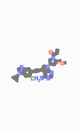 C=CC(=O)N1C[C@@H](n2cc(C#Cc3cc4ncn(C5CC5)c4cc3Cl)c3c(N)ncnc32)C[C@@H]1COC